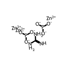 N=C(N)N.[O-]P([O-])[O-].[O-]P([O-])[O-].[Zn+2].[Zn+2].[Zn+2]